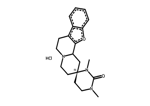 CN1CC[C@]2(CCN3CCc4c(oc5ccccc45)C3C2)N(C)C1=O.Cl